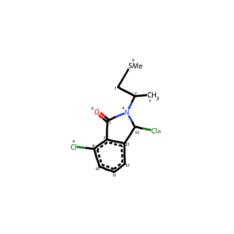 CSCC(C)N1C(=O)c2c(Cl)cccc2C1Cl